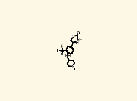 CN1CCC(Nc2ccc(C3=NNC(=O)OC3)cc2C(F)(F)F)CC1